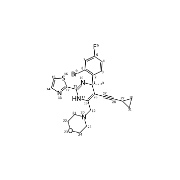 C[C@@]1(c2ccc(F)cc2Br)N=C(c2nccs2)NC(CN2CCOCC2)=C1C#CC1CC1